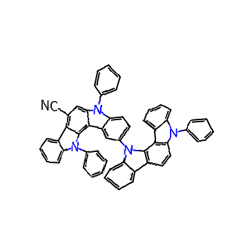 N#Cc1cc2c(c3cc(-n4c5ccccc5c5ccc6c(c7ccccc7n6-c6ccccc6)c54)ccc3n2-c2ccccc2)c2c1c1ccccc1n2-c1ccccc1